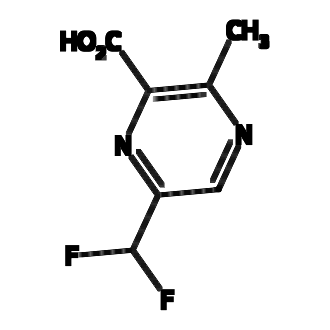 Cc1ncc(C(F)F)nc1C(=O)O